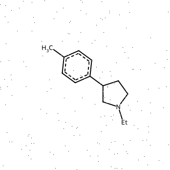 CCN1CCC(c2ccc(C)cc2)C1